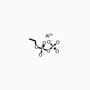 CCOP(=O)([O-])OP(=O)([O-])[O-].[Al+3]